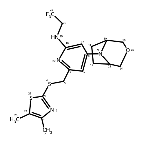 Cc1nc(SCc2cc(N3C4CCC3COC4)cc(NCC(F)(F)F)n2)sc1C